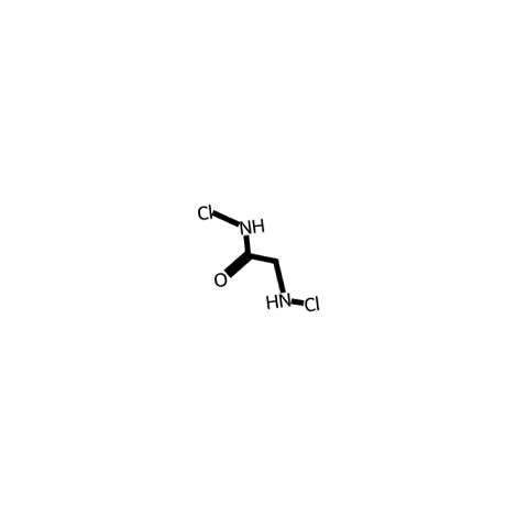 O=C(CNCl)NCl